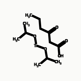 CC(C)[O][Ti][O]C(C)C.CCCC(=O)CC(=O)O